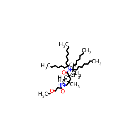 CCCCCCCC(C)(CCCCCC)N(C(=O)C(C)(C)CC(C)(C)CNC(=O)CCOCC)C(C)(CCCCCCC)CCCCCCC